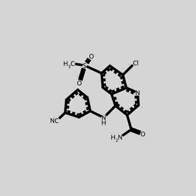 CS(=O)(=O)c1cc(Cl)c2ncc(C(N)=O)c(Nc3cccc(C#N)c3)c2c1